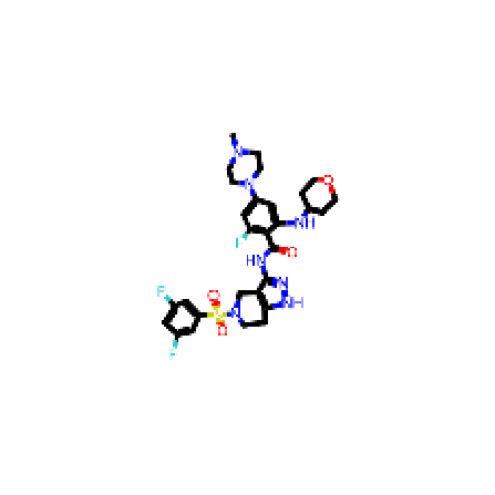 CN1CCN(c2cc(F)c(C(=O)Nc3n[nH]c4c3CN(S(=O)(=O)c3cc(F)cc(F)c3)CC4)c(NC3CCOCC3)c2)CC1